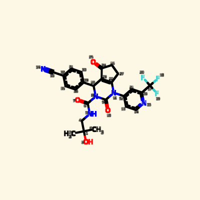 CC(C)(O)CNC(=O)N1C(=O)N(c2ccnc(C(F)(F)F)c2)C2=C(C(=O)CC2)C1c1ccc(C#N)cc1